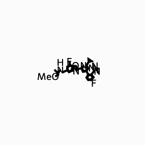 COCC(C)NCc1cc(F)c2oc(-c3cc(-c4ccc(F)cc4-c4nncn4C)cc(C4CC4)n3)nc2c1